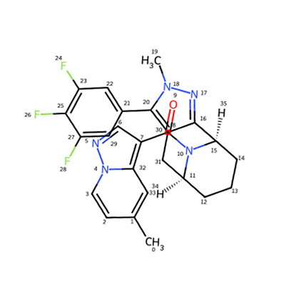 Cc1ccn2ncc(C(=O)N3[C@H]4CCC[C@@H]3c3nn(C)c(-c5cc(F)c(F)c(F)c5)c3C4)c2c1